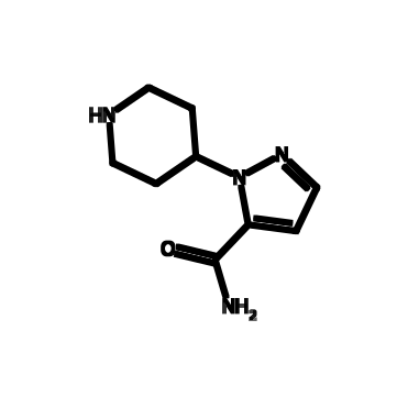 NC(=O)c1ccnn1C1CCNCC1